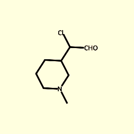 CN1CCCC(C(Cl)C=O)C1